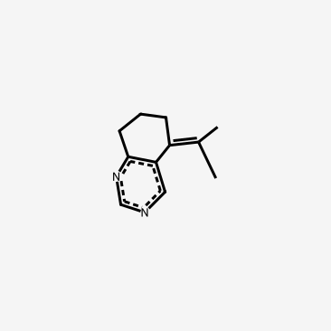 CC(C)=C1CCCc2ncncc21